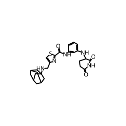 O=C1CCC(Nc2cccc(NC(=O)c3nc(CNC45CC6CC(CC(C6)C4)C5)cs3)c2)C(=O)N1